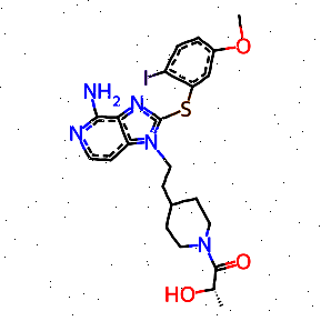 COc1ccc(I)c(Sc2nc3c(N)nccc3n2CCC2CCN(C(=O)[C@H](C)O)CC2)c1